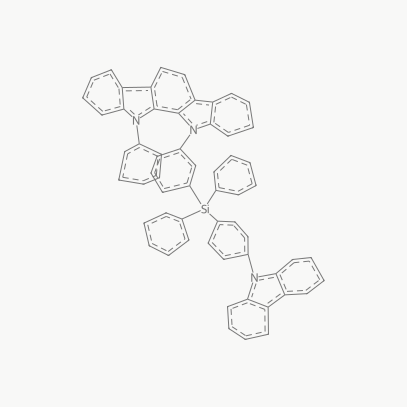 c1ccc(-n2c3ccccc3c3ccc4c5ccccc5n(-c5cccc([Si](c6ccccc6)(c6ccccc6)c6ccc(-n7c8ccccc8c8ccccc87)cc6)c5)c4c32)cc1